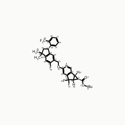 CC(C)(C)OC(=O)[C@@H]1[C@H]2c3cnc(OCc4cc5c(cc4F)C(C)(C)C[C@H]5c4ccccc4C(F)(F)F)cc3C(F)(F)[C@@H]12